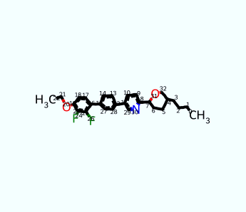 CCCCC1CCC(c2ccc(-c3ccc(-c4ccc(OCC)c(F)c4F)cc3)cn2)OC1